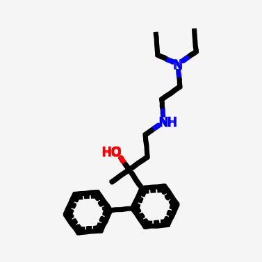 CCN(CC)CCNCCC(C)(O)c1ccccc1-c1ccccc1